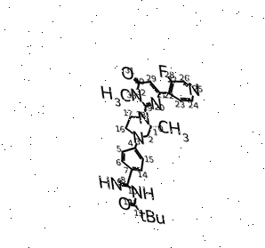 C[C@@H]1CN(c2ccc(C(=N)NC(=O)C(C)(C)C)cc2)CCN1c1nc(-c2ccncc2F)cc(=O)n1C